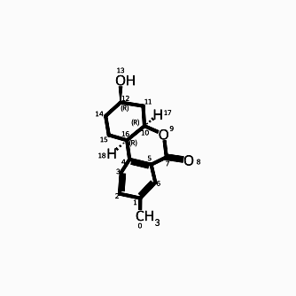 Cc1ccc2c(c1)C(=O)O[C@@H]1C[C@H](O)CC[C@H]21